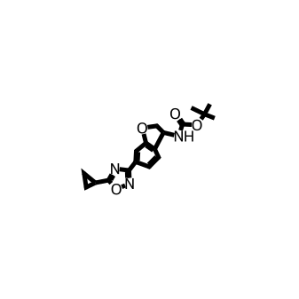 CC(C)(C)OC(=O)NC1COc2cc(-c3noc(C4CC4)n3)ccc21